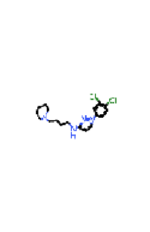 Clc1ccc(-n2ccc(NCCCCN3CCCCC3)n2)cc1Cl